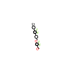 CCC1CCC(c2ccc(C3CCC(COc4ccc(C5CO5)c(F)c4F)CC3)c(F)c2F)CC1